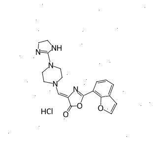 Cl.O=C1OC(c2cccc3ccoc23)=NC1=CN1CCN(C2=NCCN2)CC1